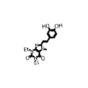 CCn1c(=O)c2c(nc(/C=C/c3ccc(O)c(O)c3)n2C)n(CC)c1=O